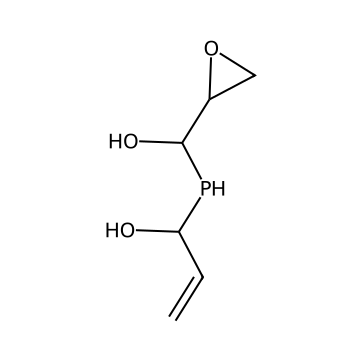 C=CC(O)PC(O)C1CO1